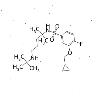 CC(C)(C)NCCCC(C)(C)NS(=O)(=O)c1ccc(F)c(OCC2CC2)c1